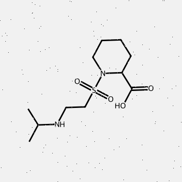 CC(C)NCCS(=O)(=O)N1CCCCC1C(=O)O